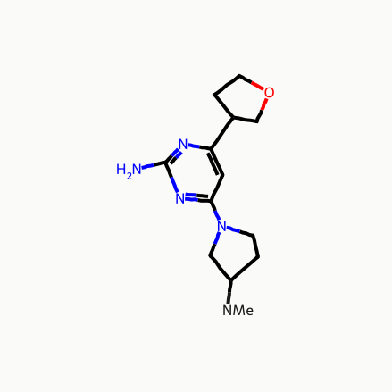 CNC1CCN(c2cc(C3CCOC3)nc(N)n2)C1